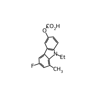 CCn1c2ccc(OC(=O)O)cc2c2cc(F)cc(C)c21